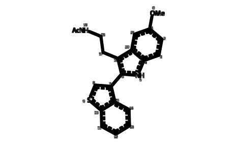 COc1ccc2[nH]c(-c3csc4ccccc34)c(CCNC(C)=O)c2c1